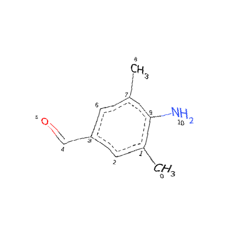 Cc1cc(C=O)cc(C)c1N